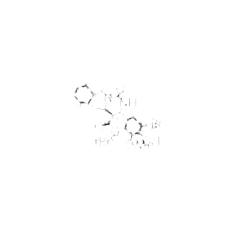 COc1cc(C2NC(=O)N(Cc3ccccc3)C(C)=C2C(=O)OC(C)(C)C)cc(Br)c1O